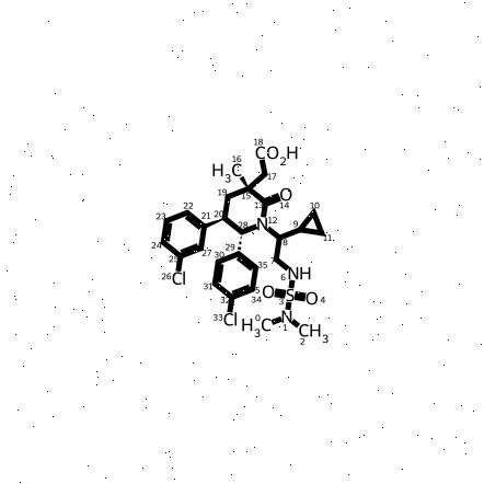 CN(C)S(=O)(=O)NCC(C1CC1)N1C(=O)[C@@](C)(CC(=O)O)C[C@H](c2cccc(Cl)c2)[C@H]1c1ccc(Cl)cc1